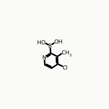 Cc1c(Cl)ccnc1B(O)O